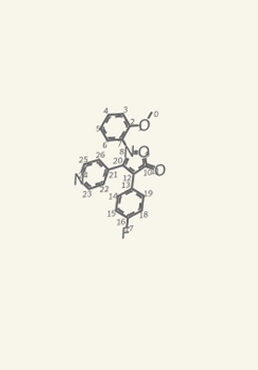 COc1ccccc1-n1oc(=O)c(-c2ccc(F)cc2)c1-c1ccncc1